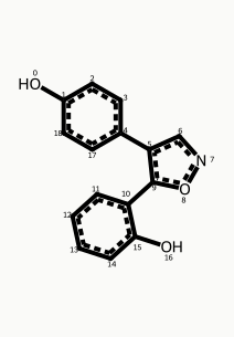 Oc1ccc(-c2cnoc2-c2ccccc2O)cc1